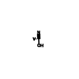 N#CO.[V]